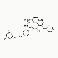 COc1ccc2ncc(CN3CCOCC3)c([C@H](O)CCC3(C(=O)NO)CCN(CCNc4cc(F)cc(F)c4)CC3)c2c1